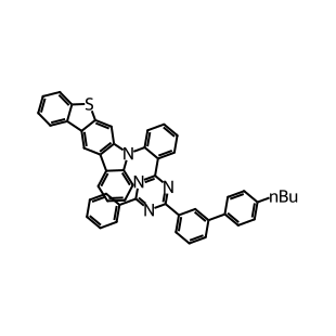 CCCCc1ccc(-c2cccc(-c3nc(-c4ccccc4)nc(-c4ccccc4-n4c5ccccc5c5cc6c(cc54)sc4ccccc46)n3)c2)cc1